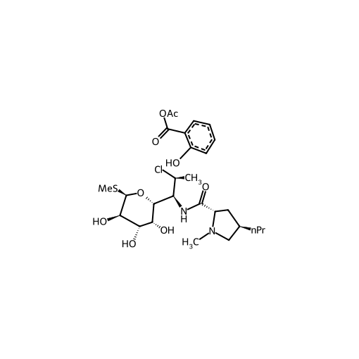 CC(=O)OC(=O)c1ccccc1O.CCC[C@@H]1C[C@@H](C(=O)N[C@@H]([C@H]2O[C@H](SC)[C@H](O)[C@@H](O)[C@H]2O)[C@H](C)Cl)N(C)C1